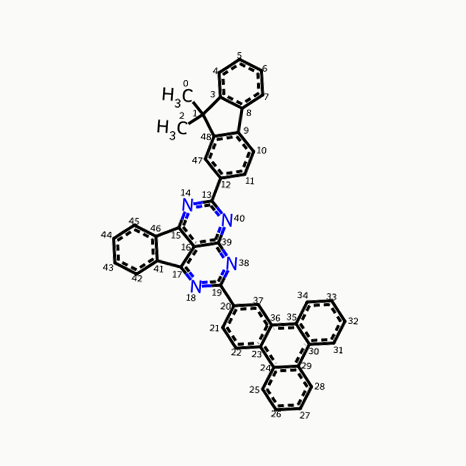 CC1(C)c2ccccc2-c2ccc(-c3nc4c5c(nc(-c6ccc7c8ccccc8c8ccccc8c7c6)nc5n3)-c3ccccc3-4)cc21